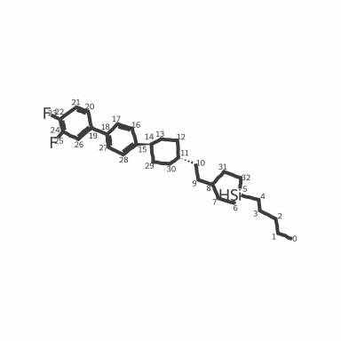 CCCCC[SiH]1CCC(CC[C@H]2CC[C@H](c3ccc(-c4ccc(F)c(F)c4)cc3)CC2)CC1